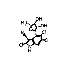 C[C@H]1O[C@@H](c2c(Cl)c(Cl)cc3[nH]c(Cl)c(C#N)c23)[C@H](O)[C@@H]1O